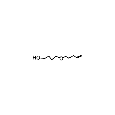 C=CCCCOCCCCO